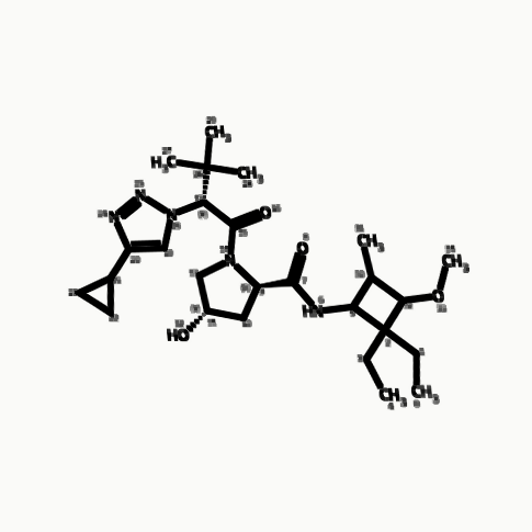 CCC1(CC)C(NC(=O)[C@H]2C[C@H](O)CN2C(=O)[C@H](n2cc(C3CC3)nn2)C(C)(C)C)C(C)C1OC